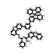 N/C(=N\C(=N/Cc1cccc2oc3ccc(-c4cccc(-c5ccc6c(c5)-c5ccccc5C65c6ccccc6-c6ccccc65)c4)cc3c12)c1ccccc1)c1ccc2sc3ccccc3c2c1